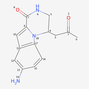 CC(=O)CC1CNC(=O)c2cc3cc(N)ccc3n21